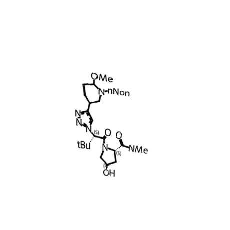 CCCCCCCCCN1CC(c2cn([C@H](C(=O)N3C[C@H](O)C[C@H]3C(=O)NC)C(C)(C)C)nn2)CCC1OC